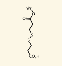 CCCOC(=O)CCSSCCC(=O)O